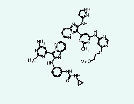 COCCOc1cc(Nc2cc(-c3c(Nc4cc[nH]n4)nc4cccnn34)nc(C)n2)ncn1.Cc1nc(N)cc(-c2c(Nc3cccc(NC(=O)NC4CC4)c3)nc3cccnn23)n1